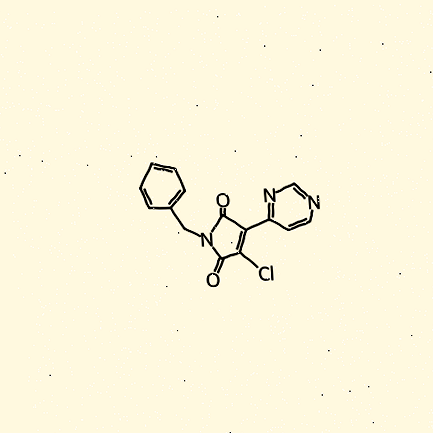 O=C1C(Cl)=C(c2ccncn2)C(=O)N1Cc1ccccc1